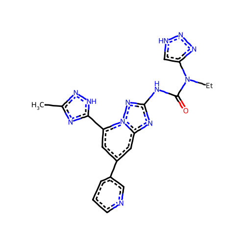 CCN(C(=O)Nc1nc2cc(-c3cccnc3)cc(-c3nc(C)n[nH]3)n2n1)c1c[nH]nn1